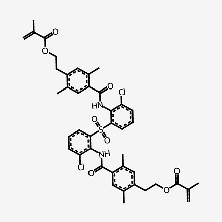 C=C(C)C(=O)OCCc1cc(C)c(C(=O)Nc2c(Cl)cccc2S(=O)(=O)c2cccc(Cl)c2NC(=O)c2cc(C)c(CCOC(=O)C(=C)C)cc2C)cc1C